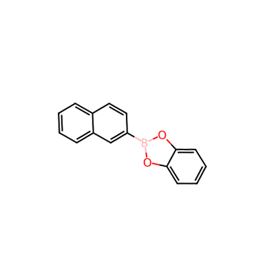 c1ccc2c(c1)OB(c1ccc3ccccc3c1)O2